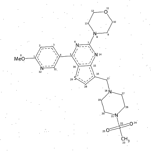 COc1ccc(-c2nc(N3CCOCC3)nc3c(CN4CCN(S(C)(=O)=O)CC4)csc23)cn1